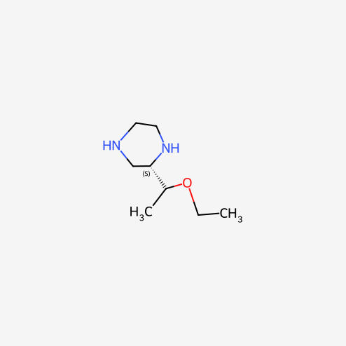 CCOC(C)[C@@H]1CNCCN1